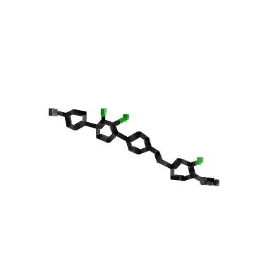 CCc1ccc(-c2ccc(-c3ccc(/C=C/c4ccc(OC)c(F)c4)cc3)c(F)c2F)cc1